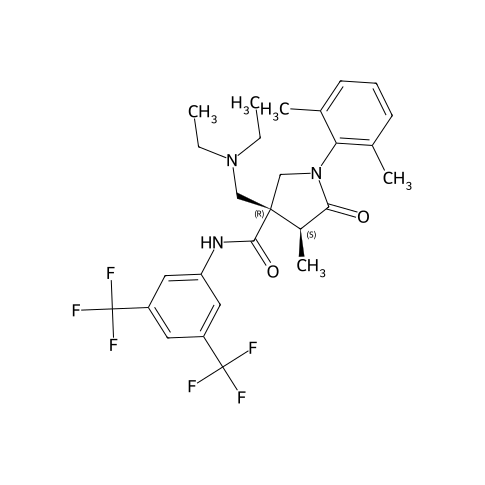 CCN(CC)C[C@@]1(C(=O)Nc2cc(C(F)(F)F)cc(C(F)(F)F)c2)CN(c2c(C)cccc2C)C(=O)[C@H]1C